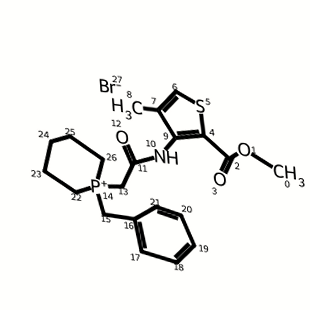 COC(=O)c1scc(C)c1NC(=O)C[P+]1(Cc2ccccc2)CCCCC1.[Br-]